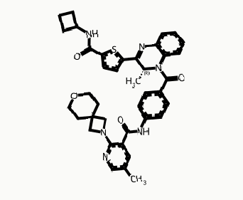 Cc1cnc(N2CC3(CCOCC3)C2)c(C(=O)Nc2ccc(C(=O)N3c4ccccc4N=C(c4ccc(C(=O)NC5CCC5)s4)[C@H]3C)cc2)c1